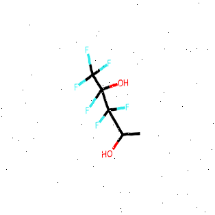 CC(O)C(F)(F)C(O)(F)C(F)(F)F